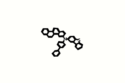 c1ccc(-c2ccc(N(c3ccc4ccc5c6ccccc6ccc5c4c3)c3ccc4sc5ccccc5c4c3)cc2)cc1